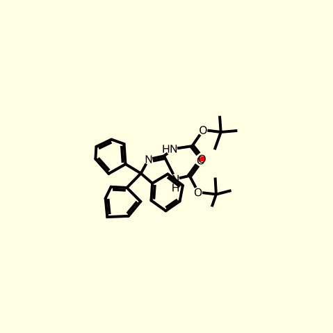 CC(C)(C)OC(=O)NC(=NC(c1ccccc1)(c1ccccc1)c1ccccc1)NC(=O)OC(C)(C)C